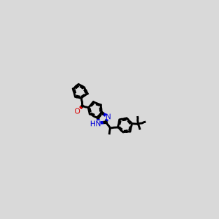 CC(c1ccc(C(C)(C)C)cc1)c1nc2ccc(C(=O)c3ccccc3)cc2[nH]1